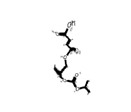 CC(C)OC(=O)OC(C)COC(=O)C=CC(=O)O